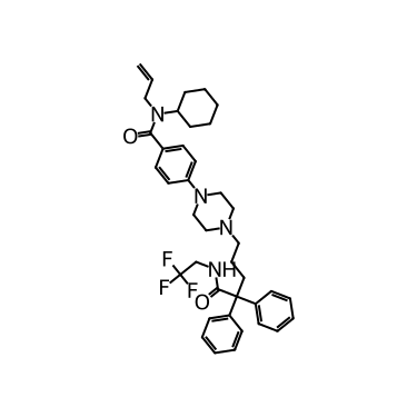 C=CCN(C(=O)c1ccc(N2CCN(CCCC(C(=O)NCC(F)(F)F)(c3ccccc3)c3ccccc3)CC2)cc1)C1CCCCC1